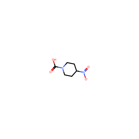 O=C(O)N1CCC([N+](=O)[O-])CC1